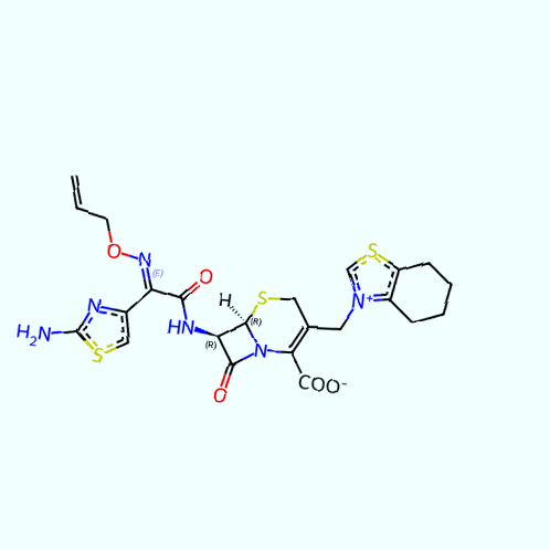 C=CCO/N=C(/C(=O)N[C@@H]1C(=O)N2C(C(=O)[O-])=C(C[n+]3csc4c3CCCC4)CS[C@H]12)c1csc(N)n1